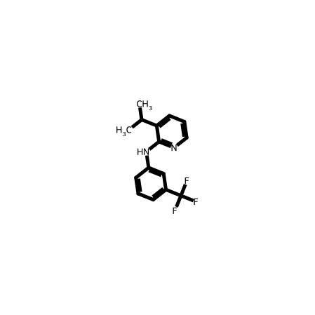 CC(C)c1cccnc1Nc1cccc(C(F)(F)F)c1